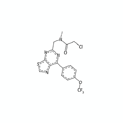 CN(Cc1nc(-c2ccc(OC(F)(F)F)cc2)c2ncsc2n1)C(=O)CCl